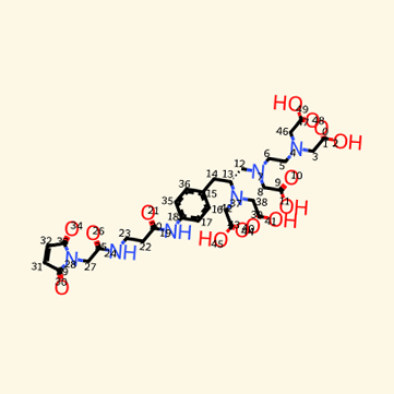 O=C(O)CN(CCN(CC(=O)O)C[C@@H](Cc1ccc(NC(=O)CCNC(=O)CN2C(=O)C=CC2=O)cc1)N(CC(=O)O)CC(=O)O)CC(=O)O